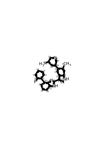 Cc1cc2[nH]nc(-c3nc4c(-c5ccccc5F)cccc4[nH]3)c2cc1-c1cncc(N)c1